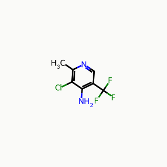 Cc1ncc(C(F)(F)F)c(N)c1Cl